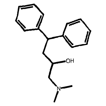 CN(C)CC(O)CC(c1ccccc1)c1ccccc1